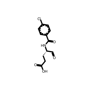 O=C[C@H](CCC(=O)O)NC(=O)c1ccc(Cl)cc1